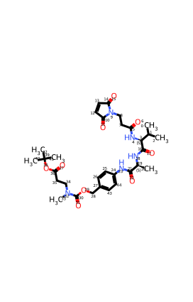 CC(C)[C@H](NC(=O)CCN1C(=O)C=CC1=O)C(=O)N[C@@H](C)C(=O)Nc1ccc(COC(=O)N(C)CCC(=O)OC(C)(C)C)cc1